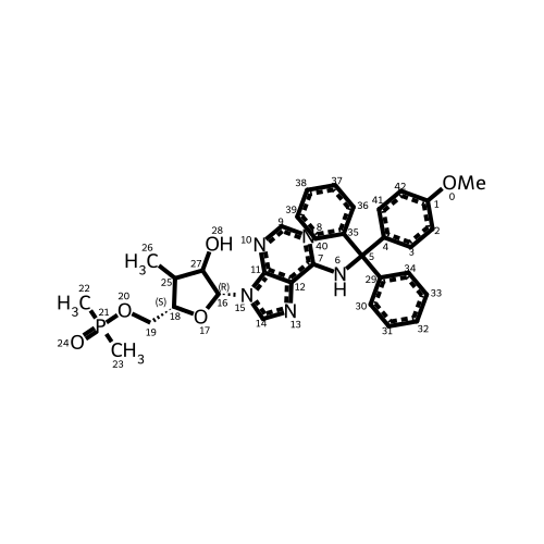 COc1ccc(C(Nc2ncnc3c2ncn3[C@@H]2O[C@H](COP(C)(C)=O)C(C)C2O)(c2ccccc2)c2ccccc2)cc1